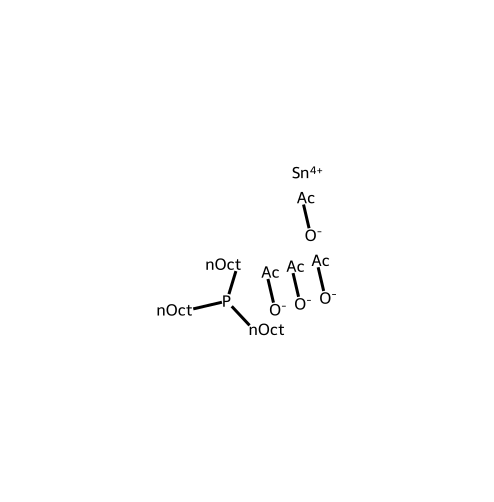 CC(=O)[O-].CC(=O)[O-].CC(=O)[O-].CC(=O)[O-].CCCCCCCCP(CCCCCCCC)CCCCCCCC.[Sn+4]